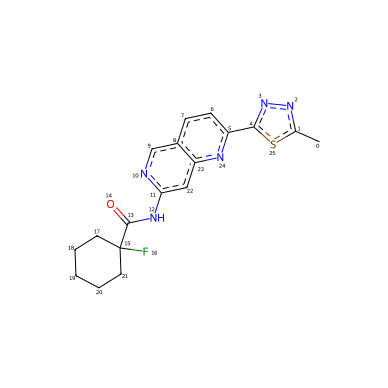 Cc1nnc(-c2ccc3cnc(NC(=O)C4(F)CCCCC4)cc3n2)s1